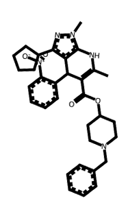 CC1=C(C(=O)OC2CCN(Cc3ccccc3)CC2)C(c2ccccc2[N+](=O)[O-])c2c(C3CCCC3)nn(C)c2N1